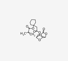 C=C(C)C(=O)OC1(CC(=O)OC2C3CC4C(=O)OC2C4O3)CCCCC1